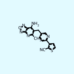 Cc1nc2nonc2c(N)c1Cc1ccc(-c2ccsc2C#N)nc1